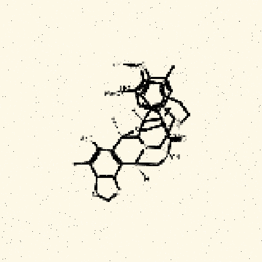 CCCOc1cc2c(cc1OC)[C@@]1(CS[C@@H]3c4c(OC(C)=O)c(C)c5c(c4[C@H](COC1=O)N1C3[C@H]3c4c(cc(C)c(OC)c4O)C[C@@H]([C@@H]1C#N)N3C)OCO5)NCC2